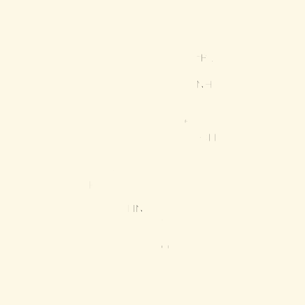 CC(C)(C)NC[C@H](O)c1ccc(F)c2[nH]c(=O)ccc12